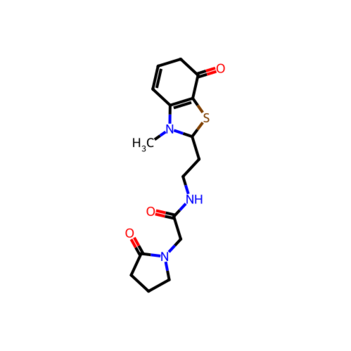 CN1C2=C(SC1CCNC(=O)CN1CCCC1=O)C(=O)CC=C2